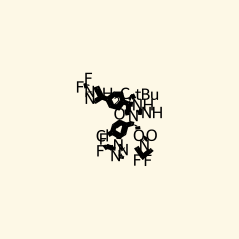 C=C(C(C)(C)C)[C@]1(c2ccc(-c3cnn(C(F)F)c3)cc2)NC(=N)N([C@H](COC(=O)N2CC(F)(F)C2)c2ccc(Cl)c(-n3ncnc3C(F)F)c2)C1=O